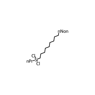 CCCCCCCCCCCCCCCCCC[Si](Cl)(Cl)CCC